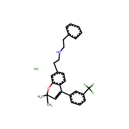 CC1(C)C=C(c2cccc(C(F)(F)F)c2)c2ccc(CCNCCc3ccccc3)cc2O1.Cl